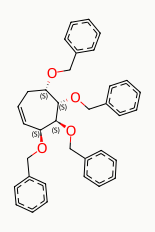 C1=C[C@H](OCc2ccccc2)[C@H](OCc2ccccc2)[C@@H](OCc2ccccc2)[C@@H](OCc2ccccc2)C1